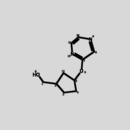 OCC1CCC(Oc2cnccn2)C1